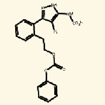 O=C(O)Nc1[nH]nc(-c2ccccc2CCOC(=O)Oc2ccccc2)c1Cl